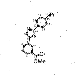 COC(=O)c1cccc(-c2cnc(-c3ccc(C(C)C)cc3)s2)c1